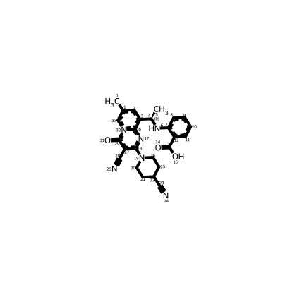 Cc1cc([C@@H](C)Nc2ccccc2C(=O)O)c2nc(N3CCC(C#N)CC3)c(C#N)c(=O)n2c1